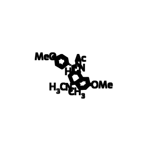 COc1ccc([C@H]2[C@H]3C[C@H](N(C)C)c4ccc(OC)cc4C3=NN2C(C)=O)cc1